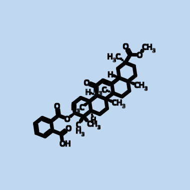 COC(=O)[C@@]1(C)CC[C@]2(C)CC[C@]3(C)C(=CC(=O)[C@@H]4[C@@]5(C)CC[C@H](OC(=O)c6ccccc6C(=O)O)C(C)(C)[C@@H]5CC[C@]43C)[C@@H]2C1